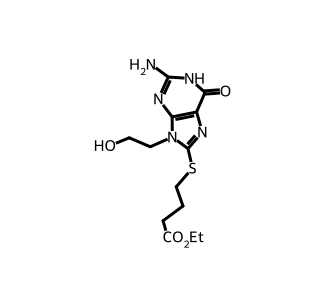 CCOC(=O)CCCSc1nc2c(=O)[nH]c(N)nc2n1CCO